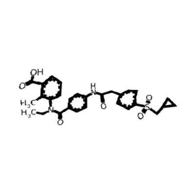 CCN(C(=O)c1ccc(NC(=O)Cc2ccc(S(=O)(=O)CC3CC3)cc2)cc1)c1cccc(C(=O)O)c1C